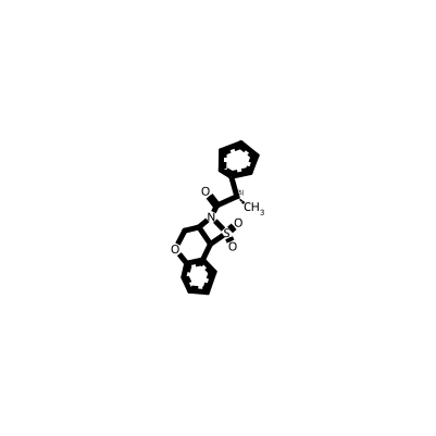 C[C@H](C(=O)N1C2COc3ccccc3C2S1(=O)=O)c1ccccc1